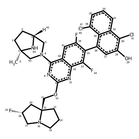 C[C@@]12CC[C@H](CN(c3nc(OC[C@@]45CCCN4C[C@H](F)C5)nc4c(F)c(-c5cc(O)c(Cl)c6cccc(Cl)c56)c(F)cc34)C1)N2